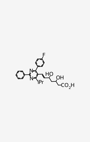 CC(C)c1nc(-c2ccccc2)nc(-c2ccc(F)cc2)c1/C=C/[C@@H](O)CC(O)CC(=O)O